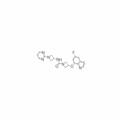 O=C(NC1CN(c2ncccn2)C1)N1CC(Oc2cc(F)cc3scnc23)C1